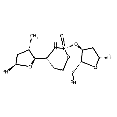 [2H]C[C@H]1O[C@@H]([3H])C[C@@H]1O[P@@]1(=O)N[C@@H]([C@H]2O[C@@H]([3H])C[C@@H]2C)CCO1